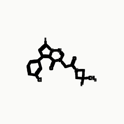 CC1(F)CN(C(=O)Cn2cnn3c(I)cc(-c4cccc(Cl)c4)c3c2=O)C1